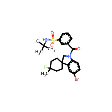 CC1(F)CCC2(CC1)CN(C(=O)c1cccc(S(=O)(=O)NC(C)(C)C)c1)c1ccc(Br)cc12